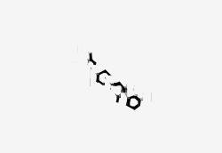 Cc1nc(N2CCC(NC[C@@H](O)CO)CC2)cc(=O)n1-c1cccc(Cl)c1Cl